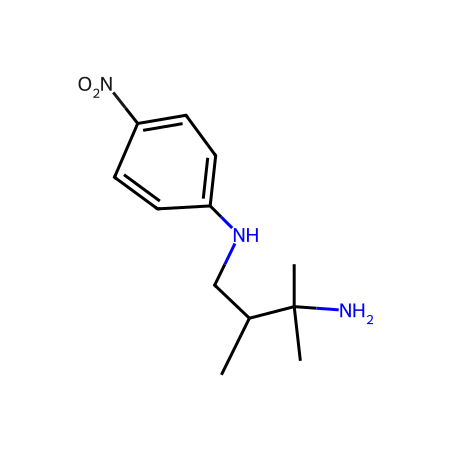 CC(CNc1ccc([N+](=O)[O-])cc1)C(C)(C)N